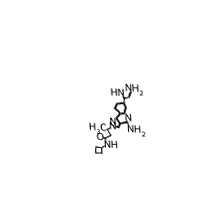 CC(CC(=O)NC1CCC1)n1cc2c(N)nc3cc(C(=N)/C=C\N)ccc3c2n1